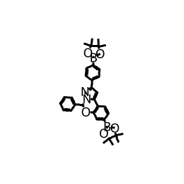 CC1(C)OB(c2ccc(-c3cc4n(n3)C(c3ccccc3)Oc3cc(B5OC(C)(C)C(C)(C)O5)ccc3-4)cc2)OC1(C)C